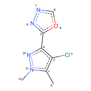 Cc1c(Cl)c(-c2nnco2)nn1C